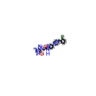 CN1CN(C)c2ncn(CC(=O)Nc3ccc(N4CCN(Cc5ccccc5F)CC4)cn3)c2C1=O